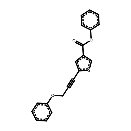 O=C(Oc1ccccc1)c1csc(C#CCOc2ccccc2)c1